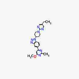 CCc1cnc(N2CCC(n3nnc4cc(-c5cc(OC)nc(C)n5)ccc43)CC2)nc1